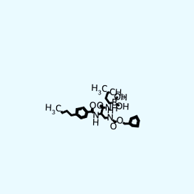 CCCCc1ccc(C(=O)NC(CNC(=O)OCc2ccccc2)C(=O)NC(CC(C)C)B(O)O)cc1